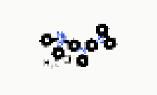 Cc1ccc(-n2c(-c3ccccc3)nnc2-c2ccc(N(c3ccccc3)c3ccc(-n4c5ccccc5c5ccccc54)cc3)cc2)cc1C